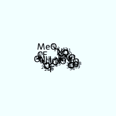 COCCn1cc(C(=O)N2CCC(c3cc(CNC(=O)C(F)(F)F)ccc3F)CC2)c2c(NC(=O)c3cccc4c3OCC4)cccc21